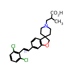 CC(CN1CCC2(CC1)COc1cc(/C=C/c3c(Cl)cccc3Cl)ccc12)C(=O)O